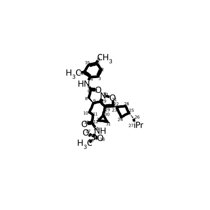 Cc1ccc(NC(=O)C[C@H](CCC(=O)NS(C)(=O)=O)c2noc([C@H]3C[C@@H](CC(C)C)C3)c2C2CC2)c(C)c1